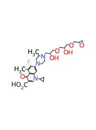 Cc1c(F)c(N2CCN(CC(O)COCC(O)COCC3CO3)C(C)C2)cc2c1c(=O)c(C(=O)O)cn2C1CC1